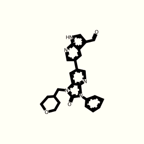 O=Cc1c[nH]c2ncc(-c3cnc4c(c3)n(CC3CCOCC3)c(=O)n4-c3ccccc3)cc12